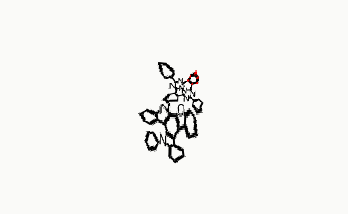 c1ccc(-c2nc(-c3ccccc3)nc(-c3ccc(-n4c5ccccc5c5c4c4oc6ccccc6c4c4c6ccccc6n(-c6ccccc6)c45)cc3-c3nc(-c4ccccc4)nc(-c4ccccc4)n3)n2)cc1